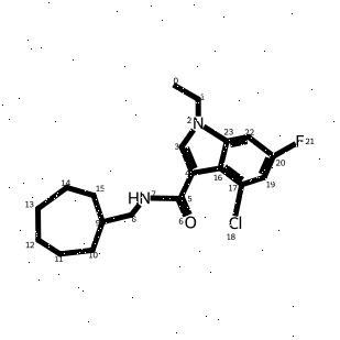 CCn1cc(C(=O)NCC2CCCCCC2)c2c(Cl)cc(F)cc21